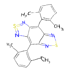 Cc1cccc(C)c1-c1c2c(c(-c3c(C)cccc3C)c3nsnc13)N=S=N2